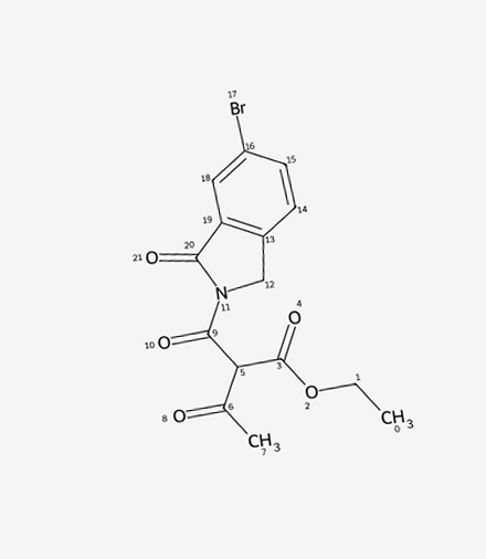 CCOC(=O)C(C(C)=O)C(=O)N1Cc2ccc(Br)cc2C1=O